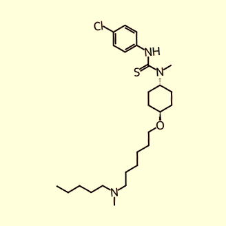 CCCCCN(C)CCCCCCO[C@H]1CC[C@H](N(C)C(=S)Nc2ccc(Cl)cc2)CC1